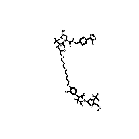 C/N=C\c1ncc(N2C(=O)C(C)(C)N(c3ccc(OCCCCOCCCOCC(=O)N[C@H](C(=O)N4C[C@H](O)C[C@H]4C(=O)NCc4ccc(-c5scnc5C)cc4)C(C)(C)C)c(F)c3)C2=S)cc1C(F)(F)F